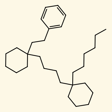 CCCCCCC1(CCCCC2(CCc3ccccc3)CCCCC2)CCCCC1